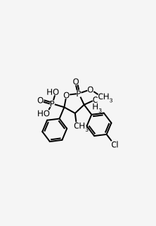 COP1(=O)OC(c2ccccc2)(P(=O)(O)O)C(C)C1(C)c1ccc(Cl)cc1